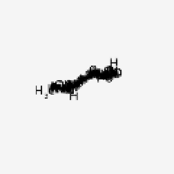 Cc1cccc(C(=O)NC2CC(n3cnc4c(Nc5ccc(N6CCN(CCC7CCN(C(=O)C8CCN(c9cc%10c(cc9F)C(=O)N([C@H]9CCC(=O)NC9=O)C%10=O)CC8)CC7)CC6)cc5)ncnc43)C2)n1